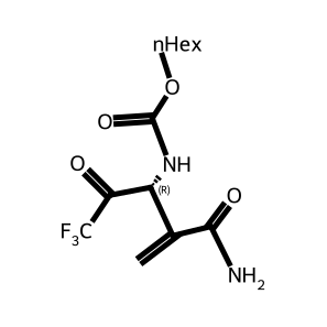 C=C(C(N)=O)[C@@H](NC(=O)OCCCCCC)C(=O)C(F)(F)F